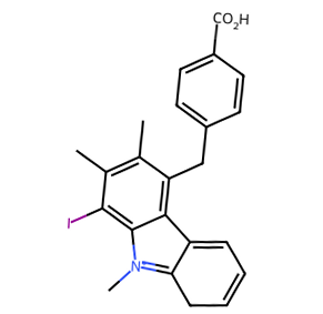 Cc1c(C)c(Cc2ccc(C(=O)O)cc2)c2c(c1I)[N+](C)=C1CC=CC=C12